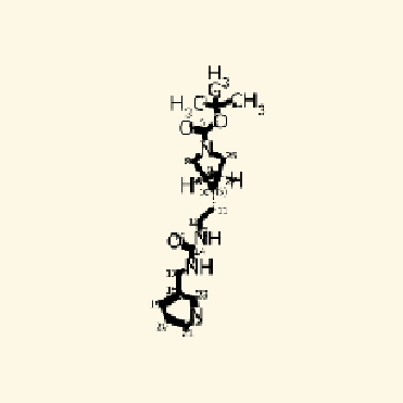 CC(C)(C)OC(=O)N1C[C@@H]2[C@@H](CCNC(=O)NCc3cccnc3)[C@@H]2C1